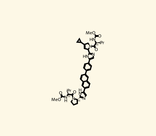 COC(=O)N[C@H](C(=O)N1CC(C2CC2)=CC1c1ncc(-c2ccc(-c3ccc4cc(-c5cnc([C@@H]6CCCN6C(=O)[C@@H](NC(=O)OC)C(C)C)[nH]5)ccc4c3)cc2)[nH]1)C(C)C